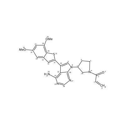 C=CC(=O)N1CCC(n2cc(-c3cc4cc(OC)cc(OC)c4s3)c3c(N)ncnc32)C1